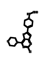 O=CBN1CC=C(c2cc3nc(Cl)nc(N4CCOCC4)c3s2)CC1